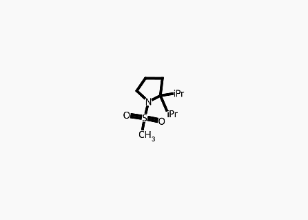 CC(C)C1(C(C)C)CCCN1S(C)(=O)=O